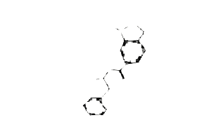 O=C(N[C@@H](Cc1ccccc1)C(=O)O)c1ccc2c(c1)B(O)OC2